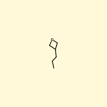 CCC[C]1COC1